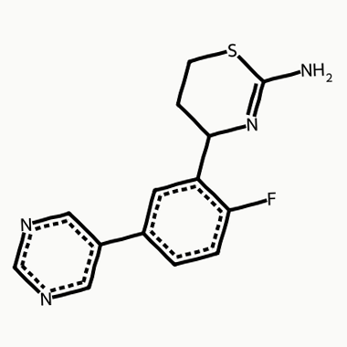 NC1=NC(c2cc(-c3cncnc3)ccc2F)CCS1